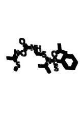 CSC(C)=NOC(=O)NCSN(C(C)C)P(=S)(OC(C)C)c1ccccc1